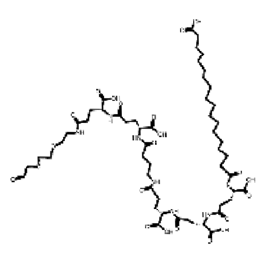 O=CCOCCOCCNC(=O)CC[C@H](NC(=O)CC[C@H](NC(=O)CCCNC(=O)CC[C@H](NC(=O)CC[C@H](NC(=O)CC[C@H](NC(=O)CCCCCCCCCCCCCCCCC(=O)O)C(=O)O)C(=O)O)C(=O)O)C(=O)O)C(=O)O